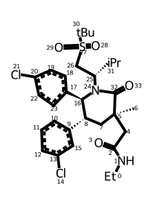 CCNC(=O)C[C@@]1(C)C[C@H](c2cccc(Cl)c2)[C@@H](c2ccc(Cl)cc2)N([C@H](CS(=O)(=O)C(C)(C)C)C(C)C)C1=O